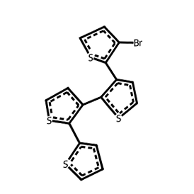 Brc1ccsc1-c1ccsc1-c1ccsc1-c1cccs1